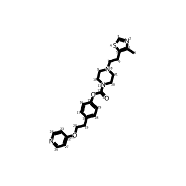 Cc1ncsc1CCN1CCN(C(=O)Oc2ccc(CCOc3ccncc3)cc2)CC1